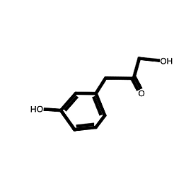 O=C(CO)Cc1cccc(O)c1